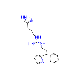 N=C(NCCCc1c[nH]cn1)NCCC(c1ccccc1)c1ccccn1